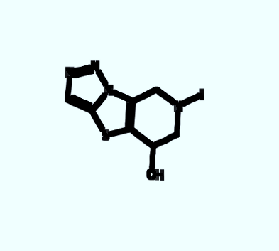 OC1CN(I)Cc2c1sc1cnnn21